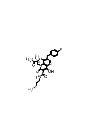 COCCNC(=O)c1c(O)c2ncc(Cc3ccc(F)cc3)c3c2n(c1=O)C[C@@](C)(C(N)=O)O3